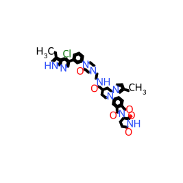 CCc1ccn(C2CC(C(=O)NCCN3CCN(c4cccc(-c5cnc6[nH]cc(CC)c6c5Cl)c4)C(=O)C3)CCN2c2ccc3c(c2)C(=O)N(C2CCC(=O)NC2=O)C3=O)c1